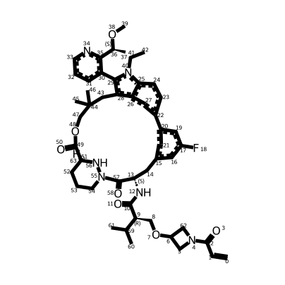 C=CC(=O)N1CC(OC[C@H](C(=O)N[C@H]2Cc3cc(F)cc(c3)-c3ccc4c(c3)c(c(-c3cccnc3[C@H](C)OC)n4CC)CC(C)(C)COC(=O)[C@@H]3CCCN(N3)C2=O)C(C)C)C1